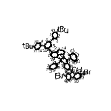 CC(C)(C)c1ccc(-c2cc(-c3ccc(C(C)(C)C)cc3)cc(-c3ccc4c5c(cccc35)-c3c-4c(-c4ccccc4)c4ccc(C5(C)c6cc(Br)ccc6-c6ccc(Br)cc65)cc4c3-c3ccccc3)c2)cc1